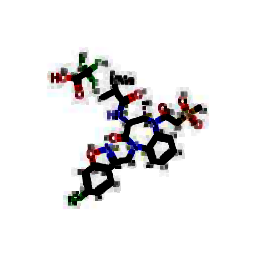 CNC(C)C(=O)N[C@@H]1C(=O)N(Cc2noc3cc(Br)ccc23)c2ccccc2N(C(=O)CS(C)(=O)=O)[C@H]1C.O=C(O)C(F)(F)F